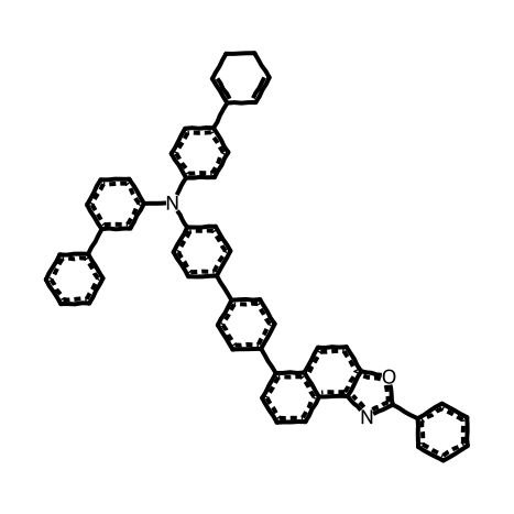 C1=CC(c2ccc(N(c3ccc(-c4ccc(-c5cccc6c5ccc5oc(-c7ccccc7)nc56)cc4)cc3)c3cccc(-c4ccccc4)c3)cc2)=CCC1